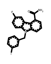 NC(=O)c1cccc2c1c1[c]c(F)ccc1n2Cc1cccc(I)c1